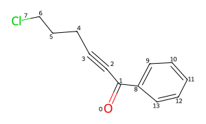 O=C(C#CCCCCl)c1ccccc1